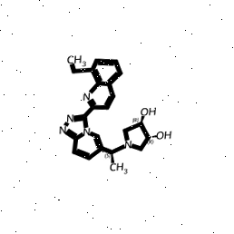 CCc1cccc2ccc(-c3nnc4ccc([C@H](C)N5C[C@@H](O)[C@H](O)C5)cn34)nc12